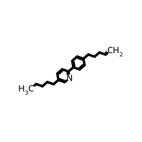 C=CCCCc1ccc(-c2ccc(CCCCC)cn2)cc1